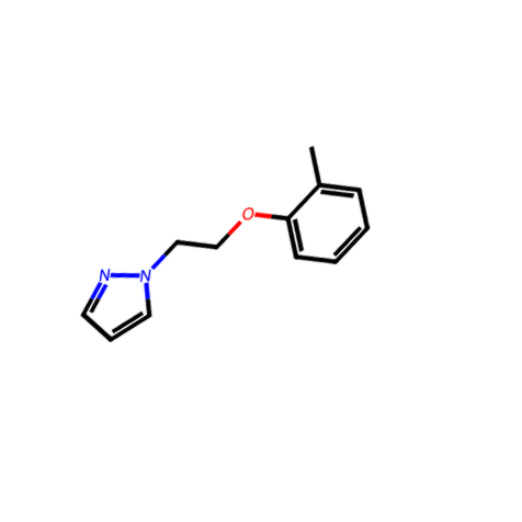 Cc1ccccc1OCCn1cccn1